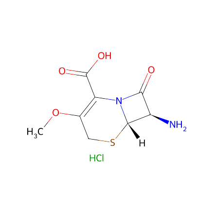 COC1=C(C(=O)O)N2C(=O)[C@@H](N)[C@@H]2SC1.Cl